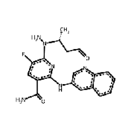 C[C@H](CC=O)N(N)c1nc(Nc2cnc3ccccc3c2)c(C(N)=O)cc1F